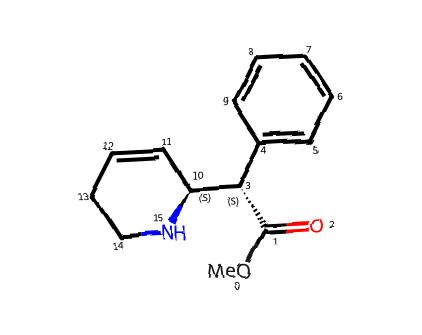 COC(=O)[C@@H](c1ccccc1)[C@@H]1C=CCCN1